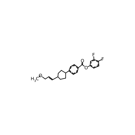 COC/C=C/C1CCC(c2ccc(C(=O)Oc3ccc(F)c(F)c3)cc2)CC1